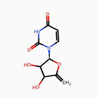 C=C1O[C@H](n2ccc(=O)[nH]c2=O)C(O)C1O